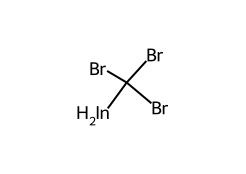 Br[C](Br)(Br)[InH2]